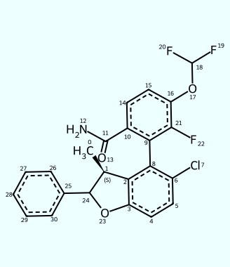 C[C@H]1c2c(ccc(Cl)c2-c2c(C(N)=O)ccc(OC(F)F)c2F)OC1c1ccccc1